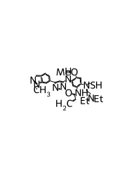 C=CC(=O)Nc1cc(Nc2cc(-c3ccc4cnn(C)c4c3)ncn2)c(OC)cc1N(CS)CCN(CC)CC